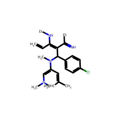 C=C/C(NCC)=C(/C(=N)CC)C(c1ccc(Cl)cc1)N(C)C(/C=C(/C)C=O)=C/N(C)C